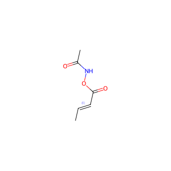 C/C=C/C(=O)ONC(C)=O